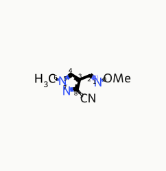 CO/N=C/c1cn(C)nc1C#N